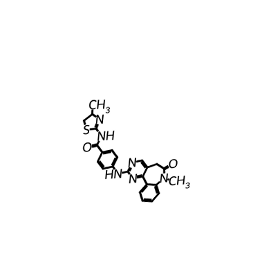 CC1CSC(NC(=O)c2ccc(Nc3ncc4c(n3)-c3ccccc3N(C)C(=O)C4)cc2)=N1